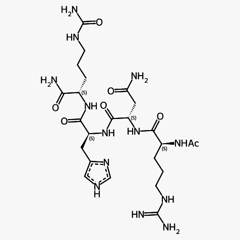 CC(=O)N[C@@H](CCCNC(=N)N)C(=O)N[C@@H](CC(N)=O)C(=O)N[C@@H](Cc1c[nH]cn1)C(=O)N[C@@H](CCCNC(N)=O)C(N)=O